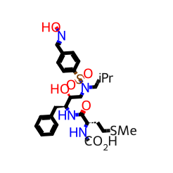 CSCC[C@H](NC(=O)O)C(=O)N[C@@H](Cc1ccccc1)[C@@H](O)CN(CC(C)C)S(=O)(=O)c1ccc(C=NO)cc1